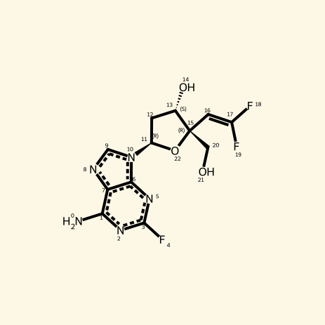 Nc1nc(F)nc2c1ncn2[C@H]1C[C@H](O)[C@@](C=C(F)F)(CO)O1